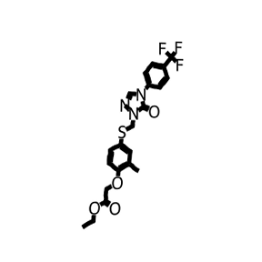 CCOC(=O)COc1ccc(SCn2ncn(-c3ccc(C(F)(F)F)cc3)c2=O)cc1C